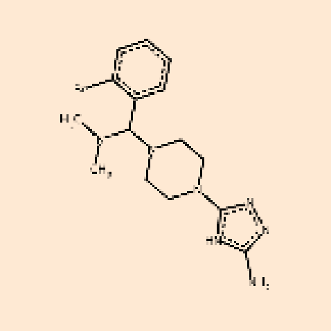 CN(C)C(c1ccccc1Br)N1CCN(c2nnc(N)[nH]2)CC1